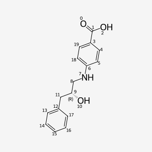 O=C(O)c1ccc(NC[C@H](O)Cc2ccccc2)cc1